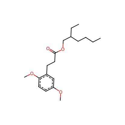 CCCCC(CC)COC(=O)CCc1cc(OC)ccc1OC